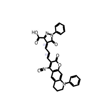 [C-]#[N+]c1c(/C=C/C=C2\C(=O)N(c3ccccc3)N=C2C(=O)O)c(=O)oc2cc3c(cc12)CCCN3c1ccccc1